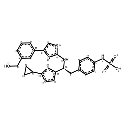 O=S(=O)(O)Nc1ccc(C[C@H](Nc2nc(-c3cccc(CO)c3)cs2)c2csc(C3CC3)n2)cc1